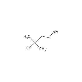 [CH2]C(C)(Cl)CCCCC